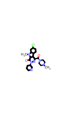 CN1CCN(C(=O)c2nn(-c3cccnc3)c(=O)c3c2c2ccc(Cl)cc2n3C)CC1